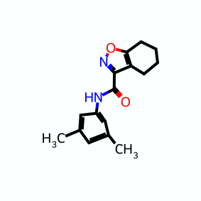 Cc1cc(C)cc(NC(=O)c2noc3c2CCCC3)c1